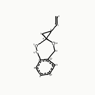 C=CC1CC12OCc1ccccc1CO2